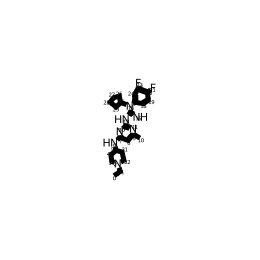 CCN1CCC(Nc2cc(C)nc(NC(=N)N(c3ccc(F)c(F)c3)C3CCCC3)n2)CC1